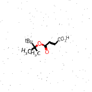 CC(C)(C)C(C)(C)OC(=O)C=CC(=O)O